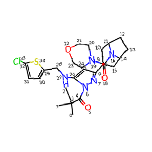 CC(C)(C)C(=O)n1nc(C2CC3CCC(C2)N3C(=O)N2CCOCC2)cc1NCc1ccc(Cl)s1